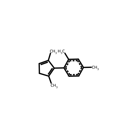 CC1=CCC(C)=C1c1[c]cc(C)cc1C